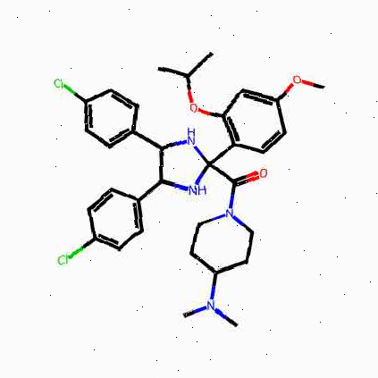 COc1ccc(C2(C(=O)N3CCC(N(C)C)CC3)NC(c3ccc(Cl)cc3)C(c3ccc(Cl)cc3)N2)c(OC(C)C)c1